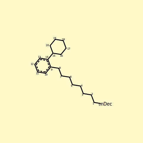 CCCCCCCCCCCCCCCCCCc1ccccc1C1CCCCC1